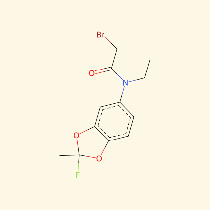 CCN(C(=O)CBr)c1ccc2c(c1)OC(C)(F)O2